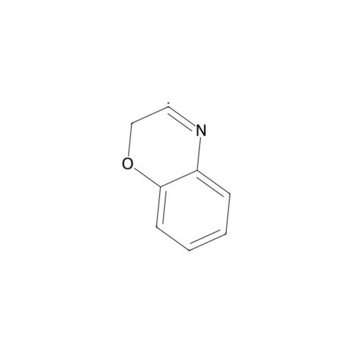 [C]1=Nc2ccccc2OC1